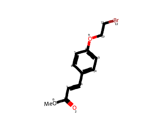 COC(=O)/C=C/c1ccc(OCCBr)cc1